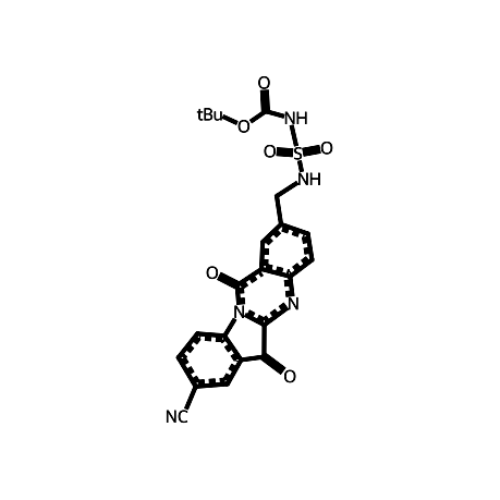 CC(C)(C)OC(=O)NS(=O)(=O)NCc1ccc2nc3n(c(=O)c2c1)-c1ccc(C#N)cc1C3=O